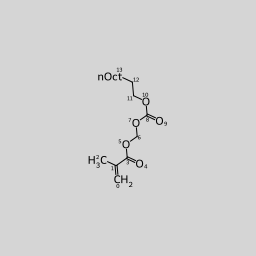 C=C(C)C(=O)OCOC(=O)OCCCCCCCCCC